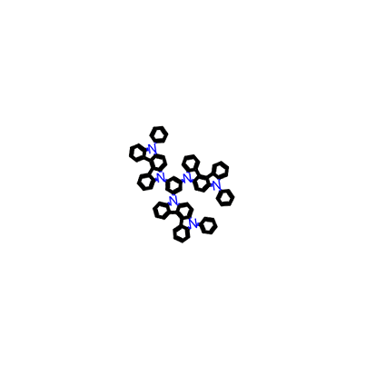 c1ccc(-n2c3ccccc3c3c4c5ccccc5n(-c5cc(-n6c7ccccc7c7c8c9ccccc9n(-c9ccccc9)c8ccc76)cc(-n6c7ccccc7c7c8c9ccccc9n(-c9ccccc9)c8ccc76)c5)c4ccc32)cc1